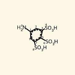 Nc1cc(S(=O)(=O)O)c(S(=O)(=O)O)c(S(=O)(=O)O)c1